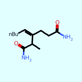 CCCCC=C(CCC(N)=O)C(C)C(N)=O